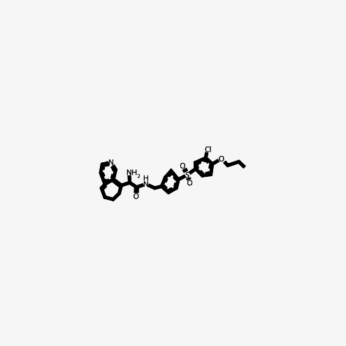 CCCOc1ccc(S(=O)(=O)c2ccc(CNC(=O)C(N)C3=c4cnccc4=CCCC3)cc2)cc1Cl